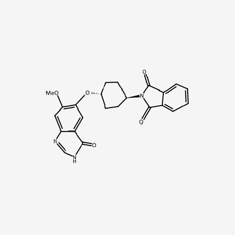 COc1cc2nc[nH]c(=O)c2cc1O[C@H]1CC[C@H](N2C(=O)c3ccccc3C2=O)CC1